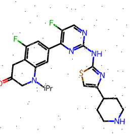 CC(C)N1CC(=O)Cc2c(F)cc(-c3nc(Nc4nc(C5CCNCC5)cs4)ncc3F)cc21